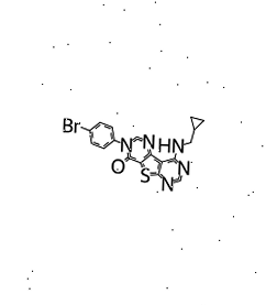 O=c1c2sc3ncnc(NCC4CC4)c3c2ncn1-c1ccc(Br)cc1